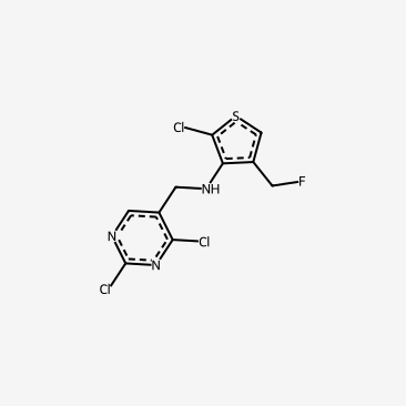 FCc1csc(Cl)c1NCc1cnc(Cl)nc1Cl